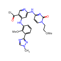 CCC(=O)c1cnc(Nc2ccn(CCOC)c(=O)n2)cc1Nc1cccc(-c2ncn(C)n2)c1OC